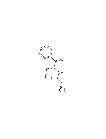 C=CCNC(OC)C(=O)c1ccccc1